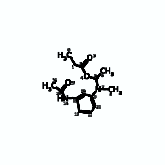 CCC(=O)OC(C)N(C)c1cccc(NC(C)=O)c1